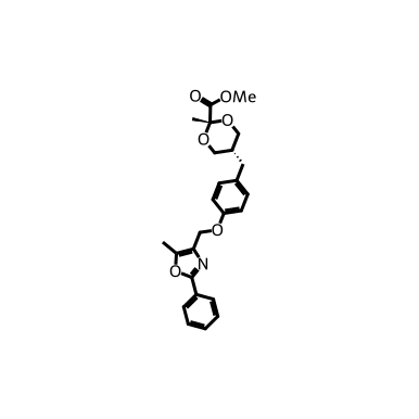 COC(=O)[C@]1(C)OC[C@H](Cc2ccc(OCc3nc(-c4ccccc4)oc3C)cc2)CO1